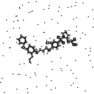 CCCc1cc(Oc2ccccc2)ccc1OCCCOc1ccc(S(=O)(=O)N2CCC[C@H]2OC(=O)O)cc1Cl